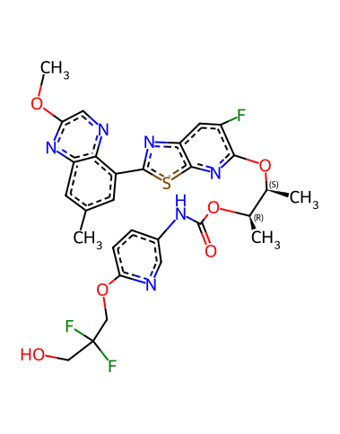 COc1cnc2c(-c3nc4cc(F)c(O[C@@H](C)[C@@H](C)OC(=O)Nc5ccc(OCC(F)(F)CO)nc5)nc4s3)cc(C)cc2n1